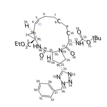 CCOC(=O)[C@@]12C[C@H]1/C=C\CCCCC[C@H](NC(=O)OC(C)(C)C)C(=O)N1C[C@H](c3nnn(Cc4ccccc4)n3)C[C@H]1C(=O)N2